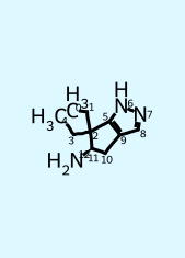 CCC1(CC)c2[nH]ncc2C[C@H]1N